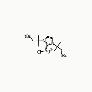 CC(C)(C)CC(C)(C)n1ccn(C(C)(C)CC(C)(C)C)[c]1=[Ag-2][Cl]